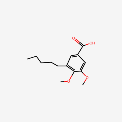 CCCCCc1cc(C(=O)O)cc(OC)c1OC